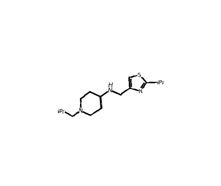 CC(C)CN1CCC(NCc2csc(C(C)C)n2)CC1